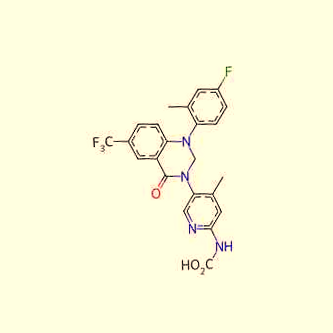 Cc1cc(NC(=O)O)ncc1N1CN(c2ccc(F)cc2C)c2ccc(C(F)(F)F)cc2C1=O